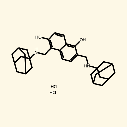 Cl.Cl.Oc1ccc2c(O)c(CNC34CC5CC(CC(C5)C3)C4)ccc2c1CNC12CC3CC(CC(C3)C1)C2